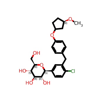 CO[C@@H]1CCC(Oc2ccc(Cc3cc([C@@H]4O[C@H](CO)[C@@H](O)[C@H](O)[C@H]4O)ccc3Cl)cc2)C1